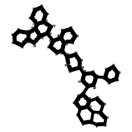 C1=CC2=CCc3ccc(-c4nc(-c5ccccc5)cc(-c5ccc(-c6ccc(-c7nc8ccccc8c8c7oc7ccccc78)c7ccccc67)cc5)n4)c4c3C2C(=C1)C=C4